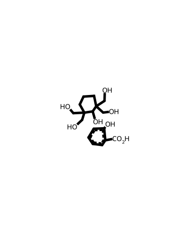 O=C(O)c1ccccc1O.OCC1(CO)CCCC(CO)(CO)C1O